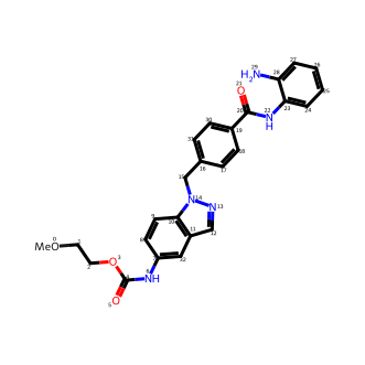 COCCOC(=O)Nc1ccc2c(cnn2Cc2ccc(C(=O)Nc3ccccc3N)cc2)c1